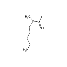 CP(CCCCN)C(=N)I